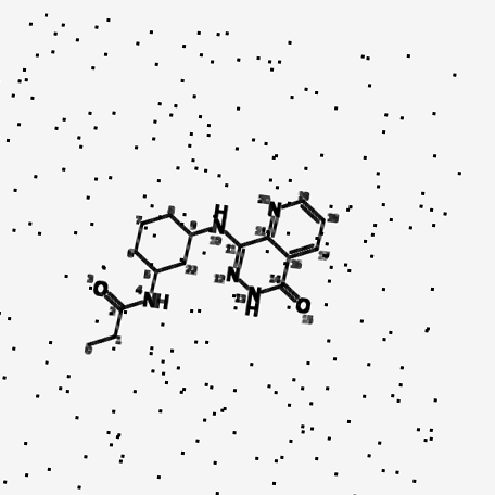 CCC(=O)NC1CCCC(Nc2n[nH]c(=O)c3cccnc23)C1